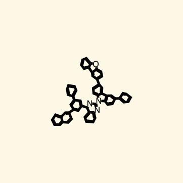 c1ccc(-c2cc(-c3ccc4ccccc4c3)cc(-c3nc(-n4c5ccc(-c6ccccc6)cc5c5cc(-c6ccc7oc8ccccc8c7c6)ccc54)nc4ccccc34)c2)cc1